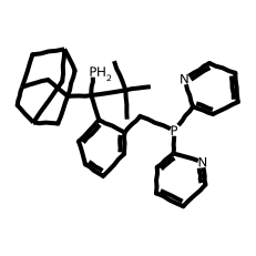 CC(C)(C)C(P)(c1ccccc1CP(c1ccccn1)c1ccccn1)C12CC3CC(CC(C3)C1)C2